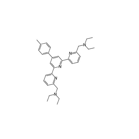 CCN(CC)Cc1cccc(-c2cc(-c3ccc(C)cc3)cc(-c3cccc(CN(CC)CC)n3)n2)n1